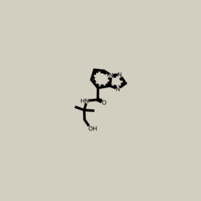 CC(C)(CO)NC(=O)c1cccn2ncnc12